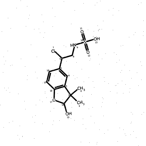 CC1(C)c2cc(C(Cl)CNS(=O)(=O)O)ccc2OC1O